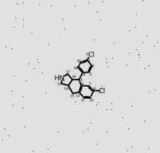 Clc1ccc(C2c3cc(Cl)ccc3CC3CNCC32)cc1